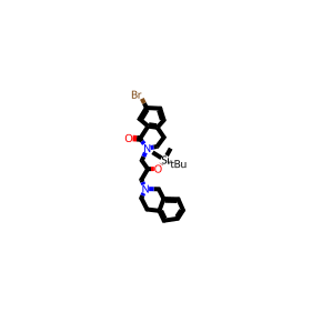 CC(C)(C)[Si](C)(C)OC(CN1CCc2ccccc2C1)CN1CCc2ccc(Br)cc2C1=O